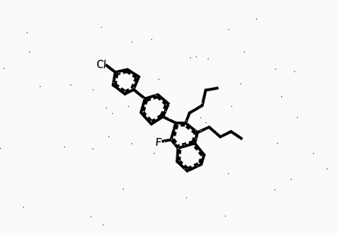 CCCCc1c(-c2ccc(-c3ccc(Cl)cc3)cc2)c(F)c2ccccc2c1CCCC